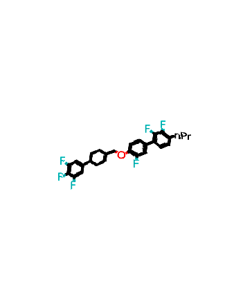 CCCc1ccc(-c2ccc(OCC3CCC(c4cc(F)c(F)c(F)c4)CC3)c(F)c2)c(F)c1F